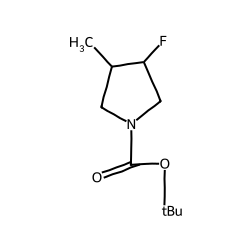 CC1CN(C(=O)OC(C)(C)C)CC1F